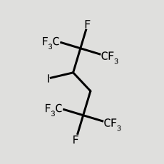 FC(F)(F)C(F)(CC(I)C(F)(C(F)(F)F)C(F)(F)F)C(F)(F)F